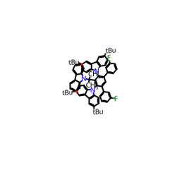 CC(C)(C)c1ccc2c(c1)c1cc(C(C)(C)C)ccc1n2-c1c(-c2cccc(F)c2)cc(-c2cccc(F)c2)c(-n2c3ccc(C(C)(C)C)cc3c3cc(C(C)(C)C)ccc32)c1C(C)(C)n1c2ccccc2c2ccccc21